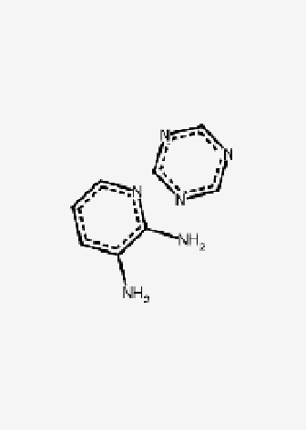 Nc1cccnc1N.c1ncncn1